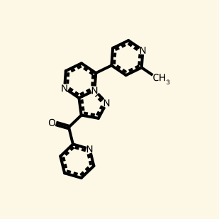 Cc1cc(-c2ccnc3c(C(=O)c4ccccn4)cnn23)ccn1